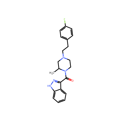 CC1CN(CCc2ccc(F)cc2)CCN1C(=O)c1n[nH]c2ccccc12